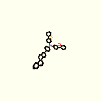 c1ccc2c(c1)ccc1c3ccc(-c4ccc(N(c5ccc6c(c5)oc5ccccc56)c5ccc6c(c5)sc5ccccc56)cc4)cc3ccc21